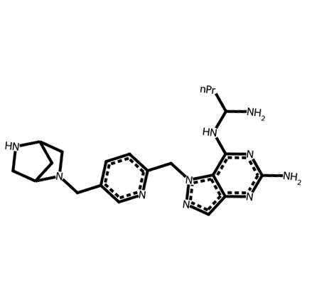 CCCC(N)Nc1nc(N)nc2cnn(Cc3ccc(CN4CC5CC4CN5)cn3)c12